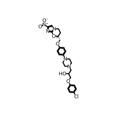 O=[N+]([O-])c1cn2c(n1)O[C@@H](COc1ccc(N3CCN(CC(O)COc4ccc(Cl)cc4)CC3)cc1)CC2